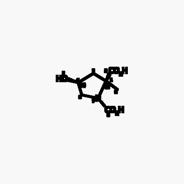 C[C@@]1(C(=O)O)C[C@H](O)CN1C(=O)O